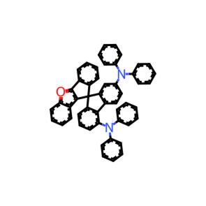 c1ccc(N(c2ccccc2)c2ccc3c(c2)C2(c4ccccc4-c4oc5ccccc5c42)c2cccc(N(c4ccccc4)c4ccccc4)c2-3)cc1